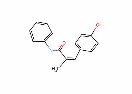 CC(=Cc1ccc(O)cc1)C(=O)Nc1ccccc1